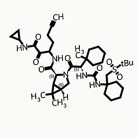 C#CCCC(NC(=O)[C@@H]1C2[C@H](CN1C(=O)[C@@H](NC(=O)NC1(CS(=O)(=O)C(C)(C)C)CCCCC1)C1(C)CCCCC1)C2(C)C)C(=O)C(=O)NC1CC1